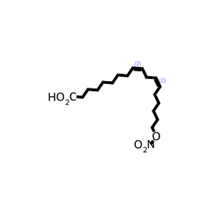 O=C(O)CCCCCCC/C=C\C/C=C\CCCCCO[N+](=O)[O-]